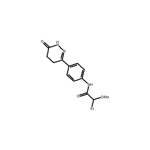 CCC(OC)C(=O)Nc1ccc(C2=NNC(=O)CC2)cc1